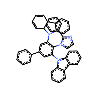 C1=CC2c3ccccc3N(c3cc(-c4ccccc4)cc(-n4c5ccccc5c5ccccc54)c3-n3ccnc3-c3ccccc3)C2C=C1